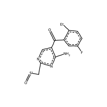 CCc1ccc(F)cc1C(=O)c1cnc(C[S+]=O)nc1N